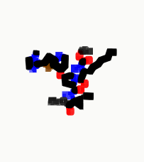 C=CCCCCC[C@H](NC(=O)OC(C)(C)C)C(=O)N1C[C@H](Oc2ccnc3cc(-c4nccn4C)sc23)C[C@H]1C(=O)N[C@]1(C(=O)OC)C[C@H]1C=C